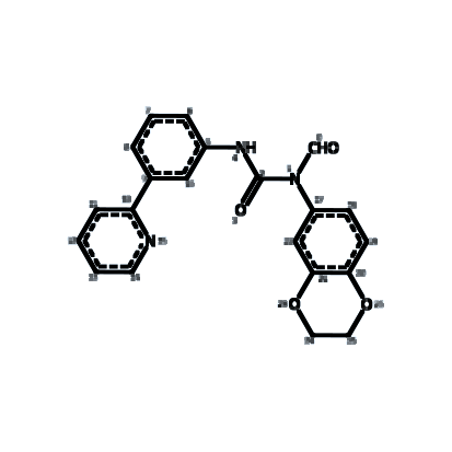 O=CN(C(=O)Nc1cccc(-c2ccccn2)c1)c1ccc2c(c1)OCCO2